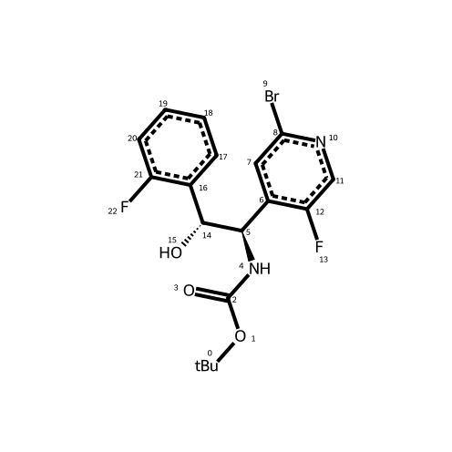 CC(C)(C)OC(=O)N[C@H](c1cc(Br)ncc1F)[C@H](O)c1ccccc1F